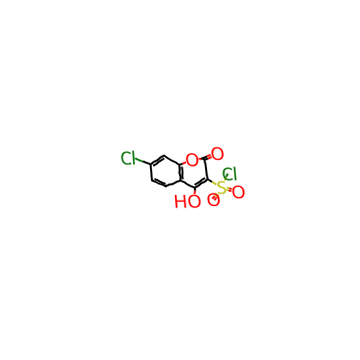 O=c1oc2cc(Cl)ccc2c(O)c1S(=O)(=O)Cl